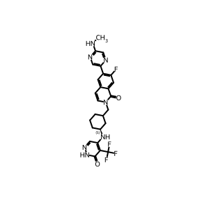 CNc1cnc(-c2cc3ccn(CC4CCC[C@H](Nc5cn[nH]c(=O)c5C(F)(F)F)C4)c(=O)c3cc2F)cn1